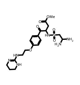 COC(=O)CC(NS(=O)(=O)CC(N)N)C(=O)c1ccc(OCCNC2=NCCCN2)cc1